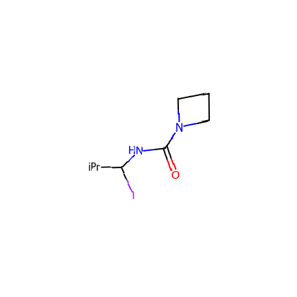 CC(C)C(I)NC(=O)N1CCC1